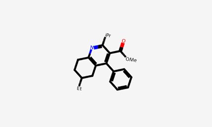 CCC1CCc2nc(C(C)C)c(C(=O)OC)c(-c3ccccc3)c2C1